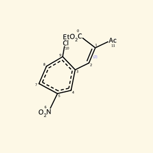 CCOC(=O)/C(=C\c1cc([N+](=O)[O-])ccc1Cl)C(C)=O